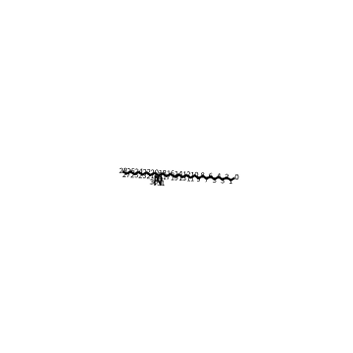 CCCCCCCCCCCCCCC=CCCCC(CCCCCCCCC)N(C)C